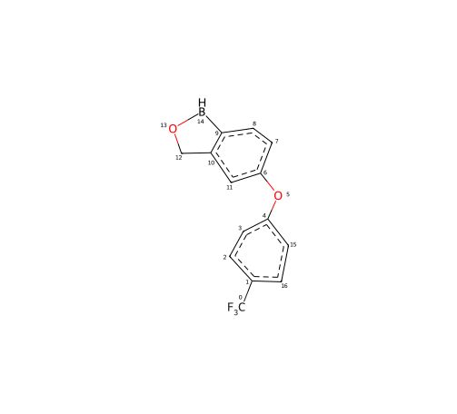 FC(F)(F)c1ccc(Oc2ccc3c(c2)COB3)cc1